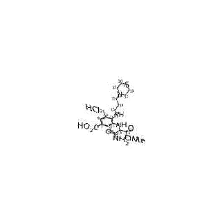 COC(=O)C(Nc1cc(C(=O)O)ccc1NCCCN1CCSCC1)C(N)=O.Cl